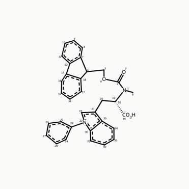 CN(C(=O)OCC1c2ccccc2-c2ccccc21)[C@@H](Cc1cn(-c2ccccc2)c2ccccc12)C(=O)O